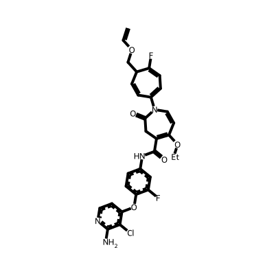 C=COCC1C=CC(N2C=CC(OCC)=C(C(=O)Nc3ccc(Oc4ccnc(N)c4Cl)c(F)c3)CC2=O)=CC=C1F